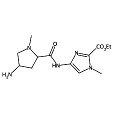 CCOC(=O)c1nc(NC(=O)C2CC(N)CN2C)cn1C